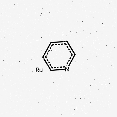 [Ru].c1ccncc1